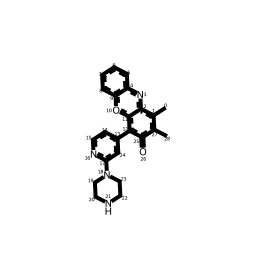 Cc1c2nc3ccccc3oc-2c(-c2ccnc(N3CCNCC3)c2)c(=O)c1C